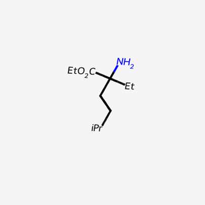 CCOC(=O)C(N)(CC)CCC(C)C